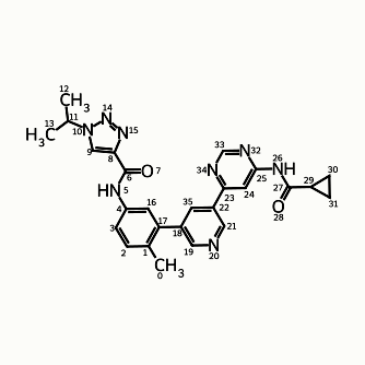 Cc1ccc(NC(=O)c2cn(C(C)C)nn2)cc1-c1cncc(-c2cc(NC(=O)C3CC3)ncn2)c1